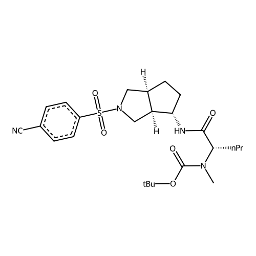 CCC[C@@H](C(=O)N[C@H]1CC[C@@H]2CN(S(=O)(=O)c3ccc(C#N)cc3)C[C@@H]21)N(C)C(=O)OC(C)(C)C